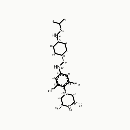 CC(C)SN[C@H]1CC[C@H](CNc2cc(F)c(N3C[C@@H](C)O[C@@H](C)C3)c(F)c2)CC1